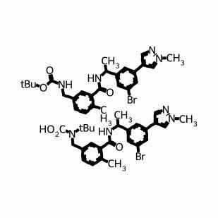 Cc1ccc(CN(C(=O)O)C(C)(C)C)cc1C(=O)NC(C)c1cc(Br)cc(-c2cnn(C)c2)c1.Cc1ccc(CNC(=O)OC(C)(C)C)cc1C(=O)NC(C)c1cc(Br)cc(-c2cnn(C)c2)c1